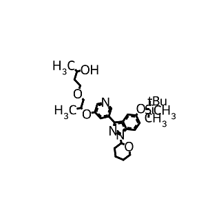 CC(O)CCOCC(C)Oc1cncc(-c2nn(C3CCCCO3)c3ccc(O[Si](C)(C)C(C)(C)C)cc23)c1